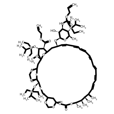 C=CCOC(=O)N[C@@H]1[C@@H](O)[C@H](O[C@H]2/C=C/C=C/C=C/C=C/C=C/C=C/C=C/C(C)[C@@H](C)[C@@H](C)[C@H](C)OC(=O)C[C@H]3C[C@@H](CC[C@@H](O[Si](CC)(CC)C(C)C)[C@H]4C[C@@H](C[C@]5(OC)C[C@H](O[Si](CC)(CC)C(C)C)[C@@H](C(=O)OCC=C)C(C2)O5)OCO4)OCO3)O[C@H](C)[C@H]1[Si](CC)(CC)C(C)C